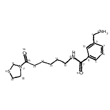 NCc1cccc(C(=O)NCCCCCC(=O)N2CCSC2)c1